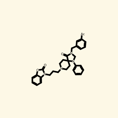 CC(=O)c1cccc(CN2CN(c3ccccc3)C3(CCN(CCCn4c(=O)oc5ccccc54)CC3)C2=O)c1